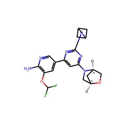 Nc1ncc(-c2cc(N3C[C@H]4C[C@@H]3CO4)nc(N3CC4CC3C4)n2)cc1OC(F)F